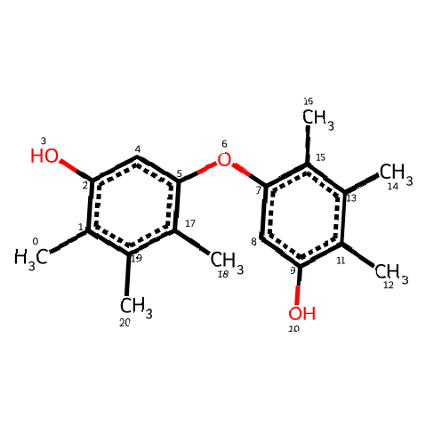 Cc1c(O)cc(Oc2cc(O)c(C)c(C)c2C)c(C)c1C